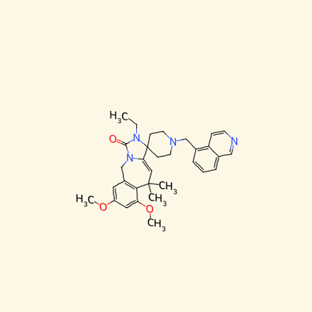 CCN1C(=O)N2Cc3cc(OC)cc(OC)c3C(C)(C)C=C2C12CCN(Cc1cccc3cnccc13)CC2